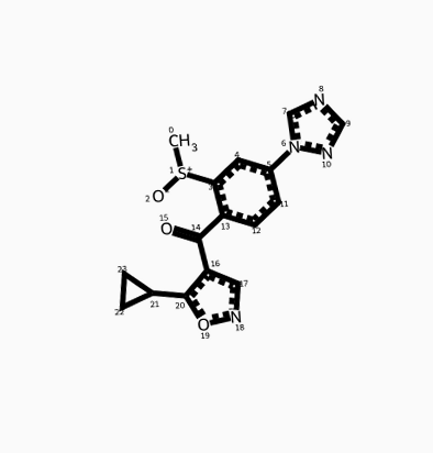 C[S+]([O-])c1cc(-n2cncn2)ccc1C(=O)c1cnoc1C1CC1